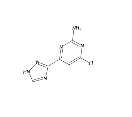 Nc1nc(Cl)cc(-c2nc[nH]n2)n1